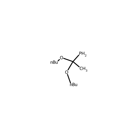 CCCCOC(C)(P)OCCCC